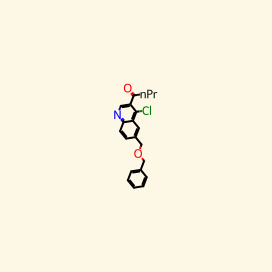 CCCC(=O)c1cnc2ccc(COCc3ccccc3)cc2c1Cl